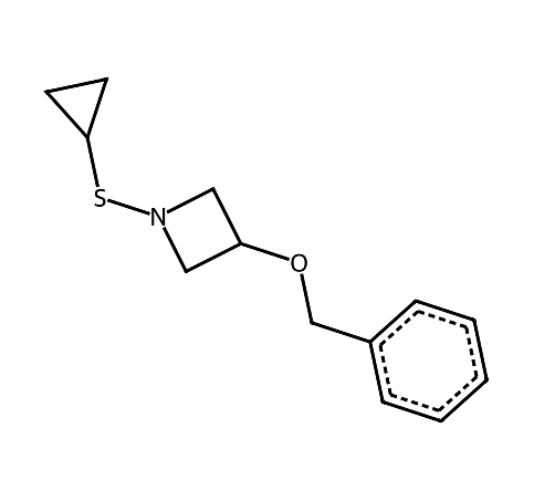 c1ccc(COC2CN(SC3CC3)C2)cc1